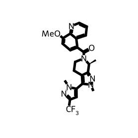 COc1ccc(C(=O)N2CCc3c(nn(C)c3-c3cc(C(F)(F)F)nn3C)[C@@H]2C)c2cccnc12